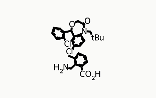 CC(C)(C)CN1C(=O)COC(c2ccccc2Cl)c2cc(Cl)ccc21.Cc1cccc(C(=O)O)c1CN